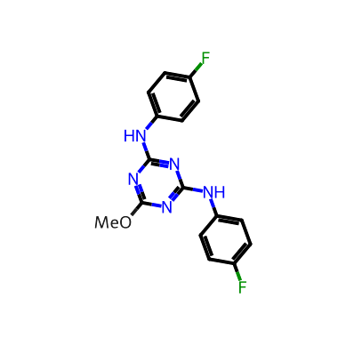 COc1nc(Nc2ccc(F)cc2)nc(Nc2ccc(F)cc2)n1